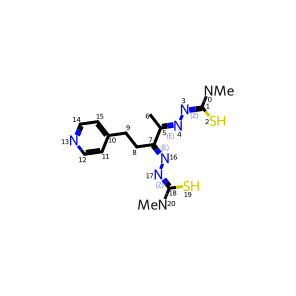 CN/C(S)=N/N=C(C)/C(CCc1ccncc1)=N/N=C(\S)NC